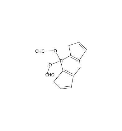 O=C[O][Ti]1([O]C=O)[C]2=C(C=CC2)CC2=[C]1CC=C2